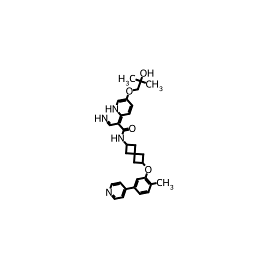 Cc1ccc(-c2ccncc2)cc1OC1CC2(CC(NC(=O)/C(C=N)=C3\C=CC(OCC(C)(C)O)=CN3)C2)C1